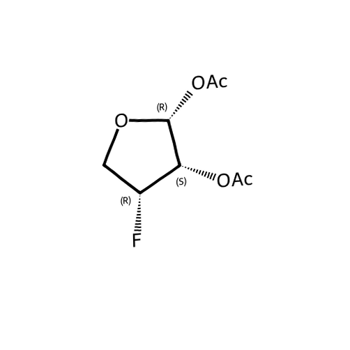 CC(=O)O[C@H]1OC[C@@H](F)[C@H]1OC(C)=O